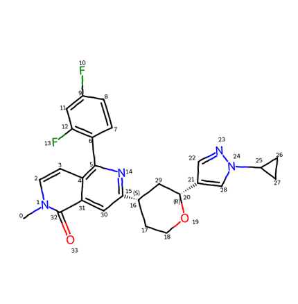 Cn1ccc2c(-c3ccc(F)cc3F)nc([C@H]3CCO[C@@H](c4cnn(C5CC5)c4)C3)cc2c1=O